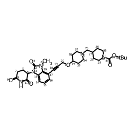 Cn1c(=O)n(C2CCC(=O)NC2=O)c2cccc(C#CCOC3CCN(CC4CCN(C(=O)OC(C)(C)C)CC4)CC3)c21